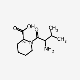 CC(C)C(N)C(=O)N1CCCC[C@H]1C(=O)O